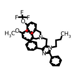 CCCCn1c(-c2ccccc2)nc(-c2ccccc2)c1CN(Cc1ccc(OC)cc1)Cc1ccc(OC(F)(F)F)cc1